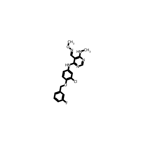 CNc1ncnc(Nc2ccc(OCc3cccc(F)c3)c(Cl)c2)c1/C=N/OC